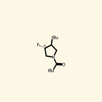 CC(C)(C)C(=O)N1CC(C(C)(C)C)[C@@H](F)C1